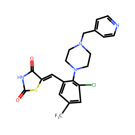 O=C1NC(=O)C(=Cc2cc(C(F)(F)F)cc(Cl)c2N2CCN(Cc3ccncc3)CC2)S1